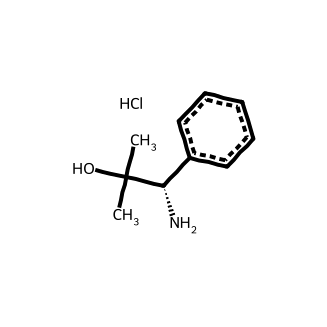 CC(C)(O)[C@@H](N)c1ccccc1.Cl